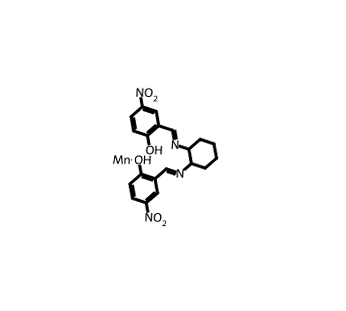 O=[N+]([O-])c1ccc(O)c(C=NC2CCCCC2N=Cc2cc([N+](=O)[O-])ccc2O)c1.[Mn]